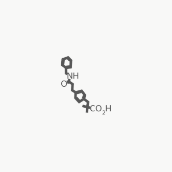 CC(C)(Cc1ccc(CCC(=O)NCc2ccccc2)cc1)C(=O)O